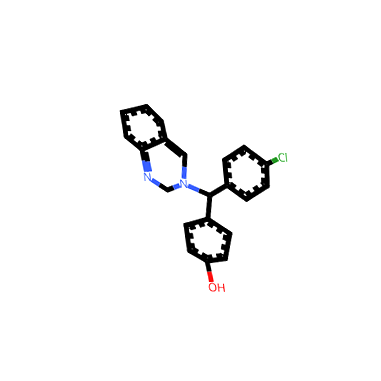 Oc1ccc(C(c2ccc(Cl)cc2)N2C=c3ccccc3=NC2)cc1